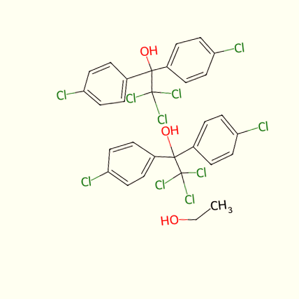 CCO.OC(c1ccc(Cl)cc1)(c1ccc(Cl)cc1)C(Cl)(Cl)Cl.OC(c1ccc(Cl)cc1)(c1ccc(Cl)cc1)C(Cl)(Cl)Cl